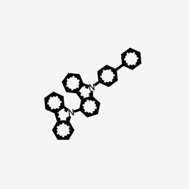 c1ccc(-c2ccc(-n3c4ccccc4c4c(-n5c6ccccc6c6ccccc65)cccc43)cc2)cc1